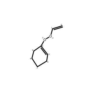 C=COOC1=CCCCC1